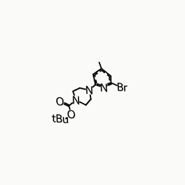 Cc1cc(Br)nc(N2CCN(C(=O)OC(C)(C)C)CC2)c1